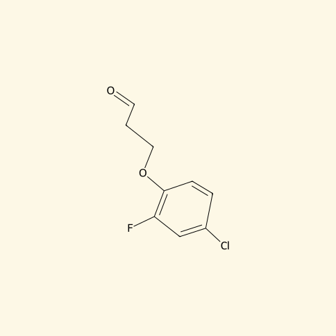 O=CCCOc1ccc(Cl)cc1F